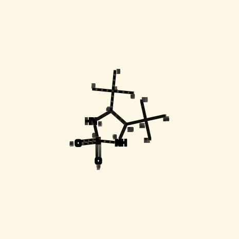 CC(C)(C)C1NS(=O)(=O)NC1C(C)(C)C